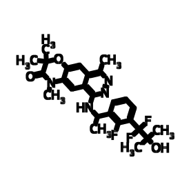 Cc1nnc(NC(C)c2cccc(C(F)(F)C(C)(C)O)c2F)c2cc3c(cc12)OC(C)(C)C(=O)N3C